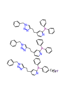 [Cu+].[Cu+].[I-].[I-].c1ccc(Cn2cc(CCc3ccnc(P(c4ccccc4)c4ccccc4)c3)nn2)cc1.c1ccc(Cn2cc(CCc3ccnc(P(c4ccccc4)c4ccccc4)c3)nn2)cc1.c1ccc(Cn2cc(CCc3ccnc(P(c4ccccc4)c4ccccc4)c3)nn2)cc1